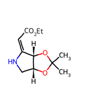 CCOC(=O)/C=C1/NC[C@H]2OC(C)(C)O[C@@H]12